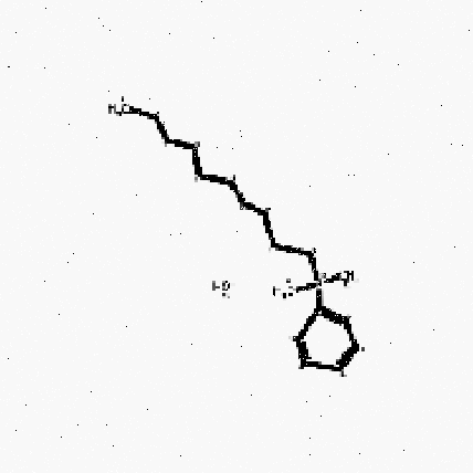 CCCCCCCCCC[P+](C)(C)c1ccccc1.[OH-]